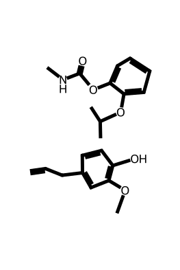 C=CCc1ccc(O)c(OC)c1.CNC(=O)Oc1ccccc1OC(C)C